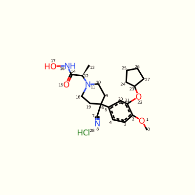 COc1ccc(C2(C#N)CCN([C@H](C)C(=O)NO)CC2)cc1OC1CCCC1.Cl